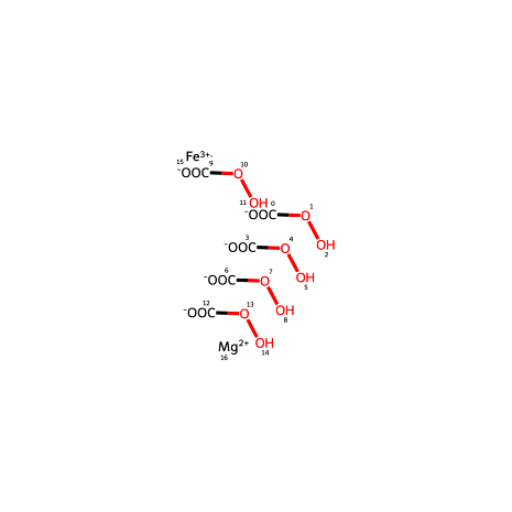 O=C([O-])OO.O=C([O-])OO.O=C([O-])OO.O=C([O-])OO.O=C([O-])OO.[Fe+3].[Mg+2]